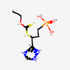 CCOC(=S)SC(CCP(=O)(O)O)c1nc[nH]n1